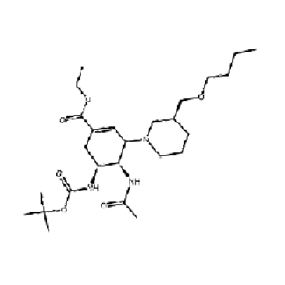 CCCCOC[C@H]1CCCN([C@@H]2C=C(C(=O)OCC)C[C@H](NC(=O)OC(C)(C)C)[C@@H]2NC(C)=O)C1